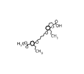 CCCc1cc(C(=O)OC)ccc1OCCCCCOc1ccc2c(c1CCC)OC(C(=O)O)CC2